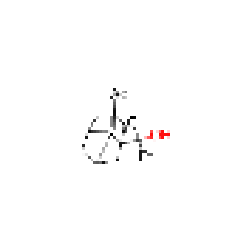 CCC(C)(O)C12CC3CC(CC(C(C)=O)(C3)C1)C2